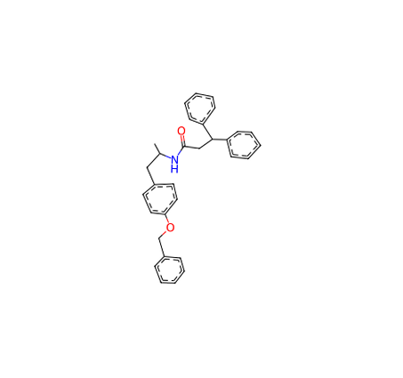 CC(Cc1ccc(OCc2ccccc2)cc1)NC(=O)CC(c1ccccc1)c1ccccc1